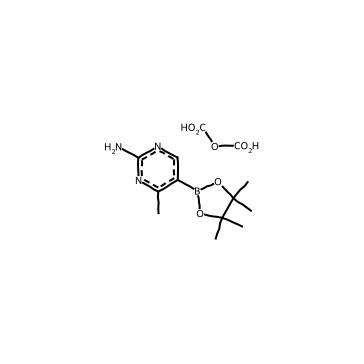 Cc1nc(N)ncc1B1OC(C)(C)C(C)(C)O1.O=C(O)OC(=O)O